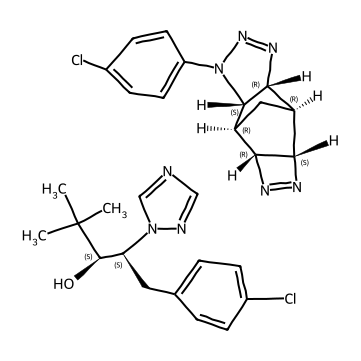 CC(C)(C)[C@H](O)[C@H](Cc1ccc(Cl)cc1)n1cncn1.Clc1ccc(N2N=N[C@@H]3[C@@H]4C[C@@H]([C@H]5N=N[C@@H]45)[C@@H]32)cc1